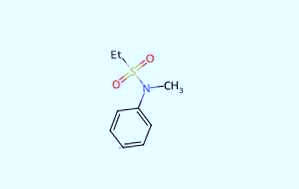 CCS(=O)(=O)N(C)c1cc[c]cc1